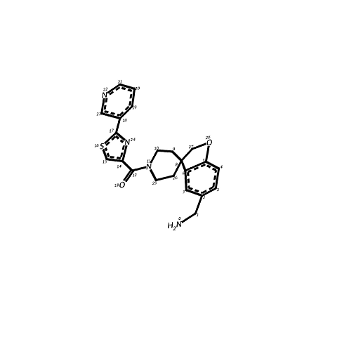 NCc1ccc2c(c1)C1(CCN(C(=O)c3csc(-c4cccnc4)n3)CC1)CO2